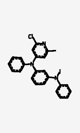 Cc1cc(N(c2ccccc2)c2cccc(N(I)c3ccccc3)c2)cc(Cl)n1